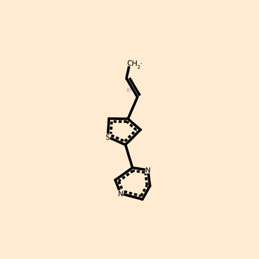 [CH2]/C=C/c1csc(-c2cnccn2)c1